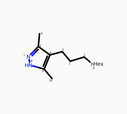 CCCCCCCCCc1c(C)n[nH]c1C